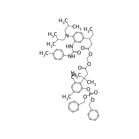 CCC(CC(=O)OCOC(=O)CC(C)(C)c1c(C)cc(C)cc1OP(=O)(OCc1ccccc1)OCc1ccccc1)c1ccc(N(CC(C)C)CC(C)C)c(NC(=O)Nc2ccc(C)cc2)c1